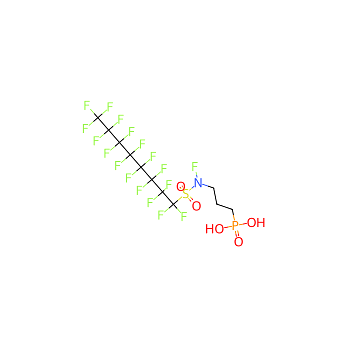 O=P(O)(O)CCCN(F)S(=O)(=O)C(F)(F)C(F)(F)C(F)(F)C(F)(F)C(F)(F)C(F)(F)C(F)(F)C(F)(F)F